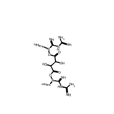 CCCCCCN(OC(=O)C(O)C(O)C(=O)ON(CCCCCC)C(=N)NC(=N)N)C(=N)NC(=N)N